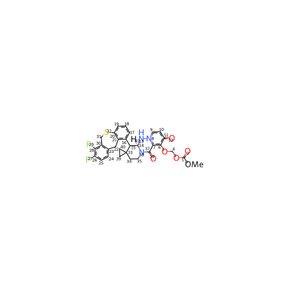 COC(=O)OCOc1c2n(ccc1=O)N[C@@H]1C(c3cccc4c3Cc3ccc(F)c(F)c3CS4)C3(CCN1C2=O)CC3